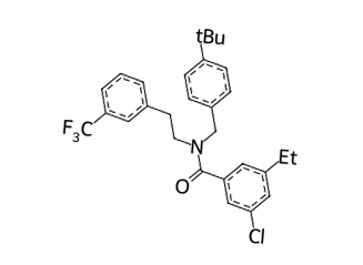 CCc1cc(Cl)cc(C(=O)N(CCc2cccc(C(F)(F)F)c2)Cc2ccc(C(C)(C)C)cc2)c1